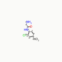 NCC(=O)Nc1ccc([N+](=O)[O-])cc1Cl